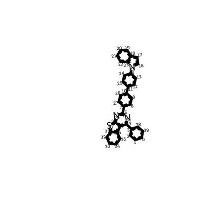 c1ccc(-c2nc(-c3ccc(-c4ccc(-n5ccc6ccccc65)cc4)cc3)nc3sc4ccccc4c23)cc1